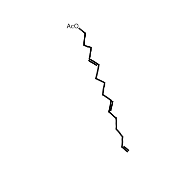 C=CCCCC=CCCCC=CCCCOC(C)=O